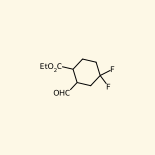 CCOC(=O)C1CCC(F)(F)CC1C=O